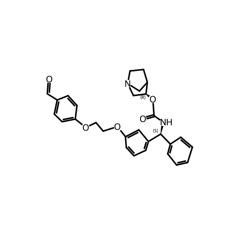 O=Cc1ccc(OCCOc2cccc([C@@H](NC(=O)O[C@H]3CN4CCC3C4)c3ccccc3)c2)cc1